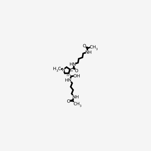 CC(=O)NCCCCNC(=O)[C@@H]1CN(C)C[C@H]1C(O)NCCCCNC(C)=O